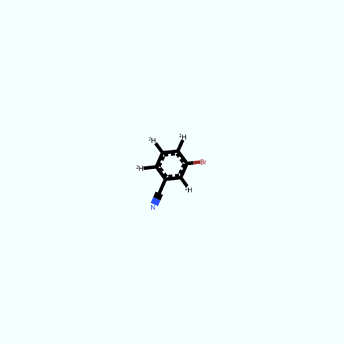 [2H]c1c([2H])c(Br)c([2H])c(C#N)c1[2H]